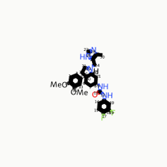 COc1ccc([C@@]23CC[C@@H](NC(=O)Nc4ccc(F)c(F)c4)C[C@@H]2N(Cc2[nH]cnc2C)CC3)cc1OC